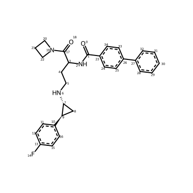 O=C(NC(CCN[C@@H]1C[C@H]1c1ccc(F)cc1)C(=O)N1CCC1)c1ccc(-c2ccccc2)cc1